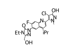 CCn1c(CO)nn(-c2cc3c(C(C)C)cc(-c4c(Cl)c(O)nn4C)nc3cc2F)c1=O